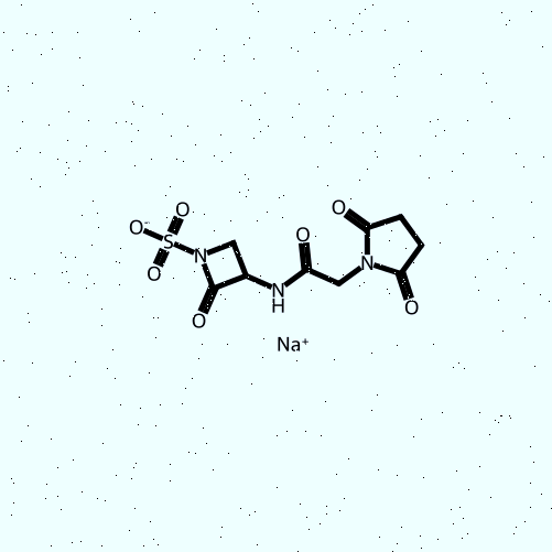 O=C(CN1C(=O)CCC1=O)NC1CN(S(=O)(=O)[O-])C1=O.[Na+]